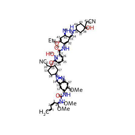 C=C/C=C\C(OC)=[N+](\OC)C(=O)Nc1cc2cn(C3CCC(CC#N)(Oc4cccc(C(=O)NC5=C/C(=C/NC6CCC(O)(CC#N)CC6)C(=N)C=C5OCC)[n+]4O)CC3)nc2cc1OC